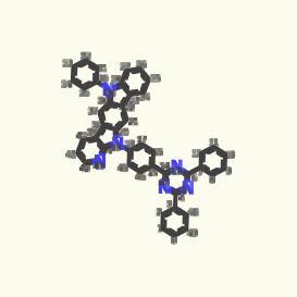 c1ccc(-c2nc(-c3ccccc3)nc(-c3ccc(-n4c5cc6c7ccccc7n(-c7ccccc7)c6cc5c5cccnc54)cc3)n2)cc1